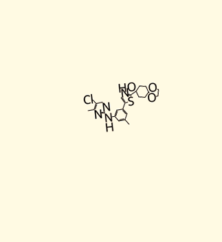 Cc1cc(Nc2ncc(Cl)c(C)n2)cc(-c2cnc(C3(O)CCC4(CC3)OCCO4)s2)c1